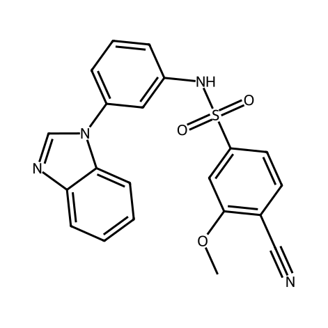 COc1cc(S(=O)(=O)Nc2cccc(-n3cnc4ccccc43)c2)ccc1C#N